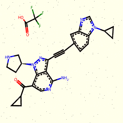 Nc1ncc(C(=O)C2CC2)c2c1c(C#Cc1ccc3c(c1)ncn3C1CC1)nn2[C@H]1CCNC1.O=C(O)C(F)(F)F